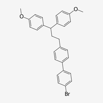 COc1ccc(C(CCc2ccc(-c3ccc(Br)cc3)cc2)c2ccc(OC)cc2)cc1